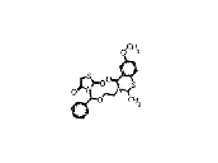 COc1ccc2c(c1)C(=O)N(CCOC(c1ccccc1)N1C(=O)CSC1=O)C(C)S2